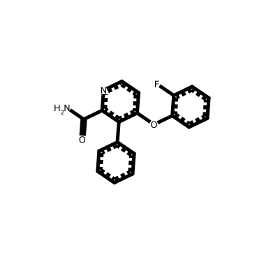 NC(=O)c1nccc(Oc2ccccc2F)c1-c1ccccc1